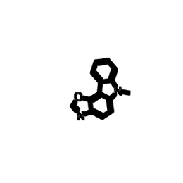 Cn1c2ccccc2c2c3ocnc3ccc21